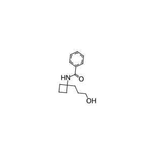 O=C(NC1(CCCO)CCC1)c1ccccc1